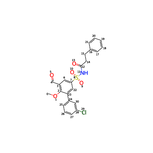 COc1c(C=O)cc(S(=O)(=O)NC(=O)CCc2ccccc2)cc1-c1cccc(Cl)c1